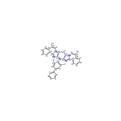 Cc1cc(-c2ccccc2)cc(C)c1N(c1nc2c3ccccc3c(C)cn2c1C)c1nc2c3ccccc3c(C)cn2c1C